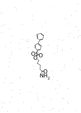 NC(=O)CCCCOS(=O)(=O)c1ccc(-c2ccccc2)cc1